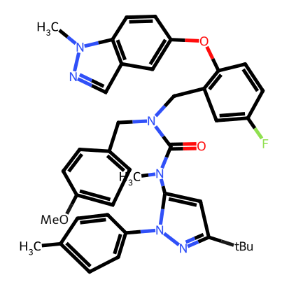 COc1ccc(CN(Cc2cc(F)ccc2Oc2ccc3c(cnn3C)c2)C(=O)N(C)c2cc(C(C)(C)C)nn2-c2ccc(C)cc2)cc1